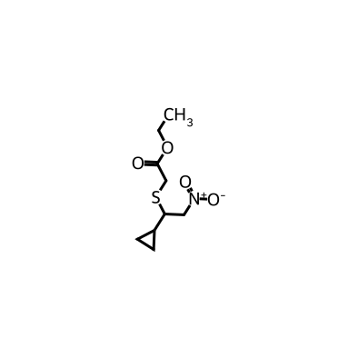 CCOC(=O)CSC(C[N+](=O)[O-])C1CC1